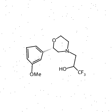 COc1cccc([C@H]2CN(CC(O)C(F)(F)F)CCO2)c1